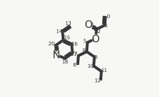 C=CC(=O)OCC(CC)CCCC.C=Cc1cccnc1